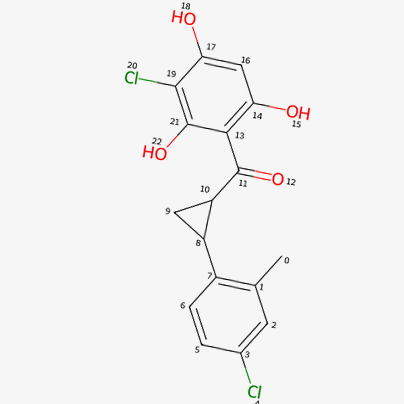 Cc1cc(Cl)ccc1C1CC1C(=O)c1c(O)cc(O)c(Cl)c1O